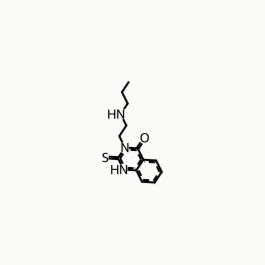 CCCNCCn1c(=S)[nH]c2ccccc2c1=O